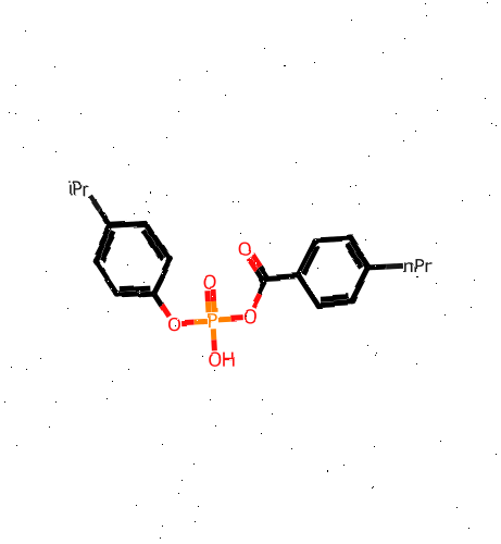 CCCc1ccc(C(=O)OP(=O)(O)Oc2ccc(C(C)C)cc2)cc1